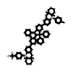 Cc1ccc(N2c3ccc(-c4ccc5c(c4)C(c4ccccc4)(c4ccccc4)c4c-5c5ccccc5c5cc(-c6ccc7c(c6)CC6(C)CCCCC6(C)N7c6ccc(C(F)(F)F)cc6)ccc45)cc3CC3(C)CCCCC23C)cc1